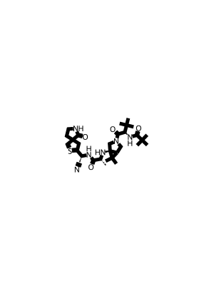 C[C@@H](N[C@@]12CN(C(=O)[C@@H](NC(=O)C(C)(C)C)C(C)(C)C)CC1C2(C)C)C(=O)N[C@H](C#N)C1=S=CC2(CCNC2=O)C1